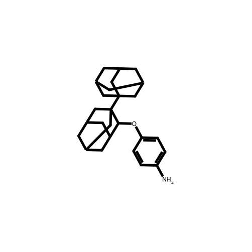 Nc1ccc(OC2C3CC4CC(C3)CC2(C23CC5CC(CC(C5)C2)C3)C4)cc1